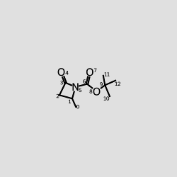 CC1CC(=O)N1C(=O)OC(C)(C)C